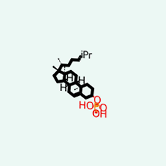 CC(C)CCC[C@@H](C)[C@@]1(C)CC[C@H]2[C@@H]3CC=C4C[C@H](OP(=O)(O)O)CC[C@]4(C)[C@H]3CC[C@@]21C